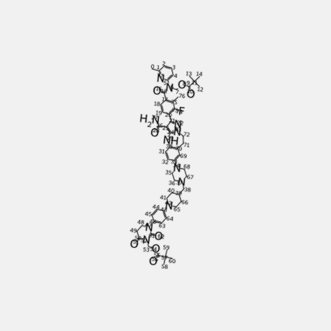 Cc1cccc(N(COC(=O)C(C)(C)C)C(=O)c2ccc(-c3nn4c(c3C(N)=O)Nc3ccc(N5CCN(CC6CCN(c7ccc(N8CCC(=O)N(COC(=O)C(C)(C)C)C8=O)cc7)CC6)CC5)cc3CC4)c(F)c2C)n1